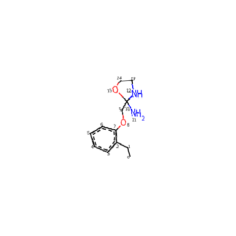 CCc1ccccc1OCC1(N)NCCO1